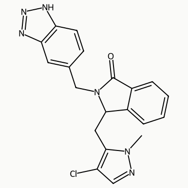 Cn1ncc(Cl)c1CC1c2ccccc2C(=O)N1Cc1ccc2[nH]nnc2c1